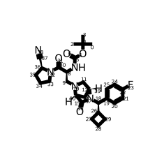 CC(C)(C)OC(=O)N[C@@H](CN1C[C@@H]2C[C@H]1C(=O)N2[C@@H](c1ccc(F)cc1)C1CCC1)C(=O)N1CCC[C@H]1C#N